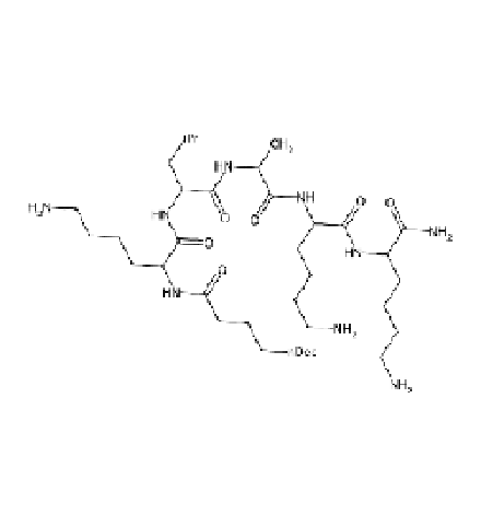 CCCCCCCCCCCCCC(=O)NC(CCCCN)C(=O)NC(CC(C)C)C(=O)NC(C)C(=O)NC(CCCCN)C(=O)NC(CCCCN)C(N)=O